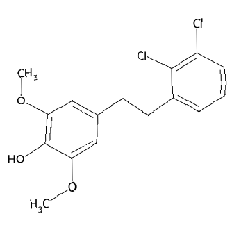 COc1cc(CCc2cccc(Cl)c2Cl)cc(OC)c1O